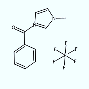 Cn1cc[n+](C(=O)c2ccccc2)c1.F[P-](F)(F)(F)(F)F